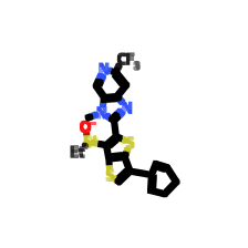 CC[S+]([O-])c1c(-c2nc3cc(C(F)(F)F)ncc3n2C)sc2c(C3=CCCC=C3)csc12